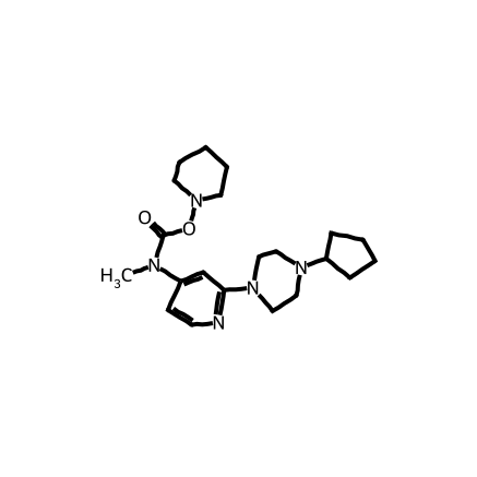 CN(C(=O)ON1CCCCC1)c1ccnc(N2CCN(C3CCCC3)CC2)c1